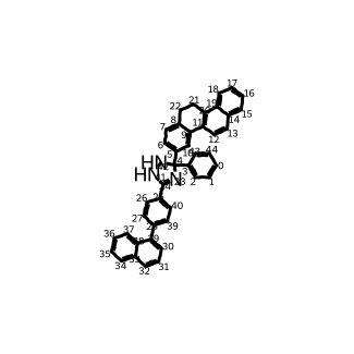 c1ccc(C2(c3ccc4c(c3)-c3ccc5ccccc5c3CC4)N=C(c3ccc(-c4cccc5ccccc45)cc3)NN2)cc1